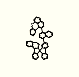 c1ccc2c(c1)Sc1cccc3ccc(-c4ccc(-c5ccc6c(c5)C5(c7ccccc7-6)c6ccccc6-c6c5ccc5ccccc65)c5ccccc45)c-2c13